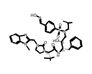 CC(C)CN(C[C@@H](O)[C@H](Cc1ccccc1)NC(=O)[C@@H](N1CCN(Cc2nc3ccccc3n2C)C1=O)C(C)(C)C)S(=O)(=O)c1ccc(C=NO)cc1